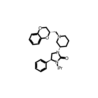 CC(C)N1C(=O)N([C@H]2CCCN(C[C@H]3COc4ccccc4O3)C2)C[C@@H]1c1ccccc1